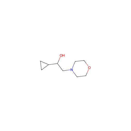 OC(CN1CCOCC1)C1CC1